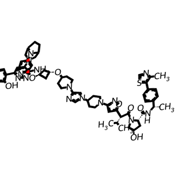 Cc1ncsc1-c1ccc([C@H](C)NC(=O)[C@@H]2C[C@@H](O)CN2C(=O)[C@@H](c2cc(N3CCC(n4cnc(N5CCC(O[C@H]6C[C@H](Oc7cc(N8C9CCC8CN(c8cc(-c%10ccccc%10O)nnc8N)C9)ccn7)C6)CC5)c4)CC3)no2)C(C)C)cc1